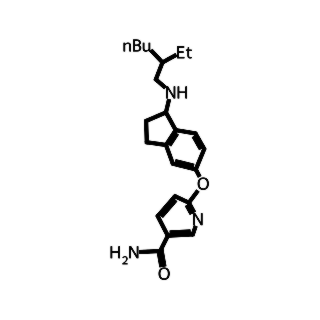 CCCCC(CC)CNC1CCc2cc(Oc3ccc(C(N)=O)cn3)ccc21